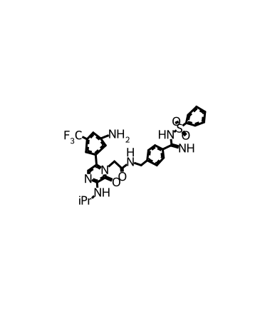 CC(C)Nc1ncc(-c2cc(N)cc(C(F)(F)F)c2)n(CC(=O)NCc2ccc(C(=N)NS(=O)(=O)c3ccccc3)cc2)c1=O